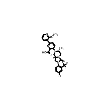 COc1ncccc1-c1ccc(N2C[C@H]3CN(c4ccc(Cl)cc4C(F)(F)F)C(=O)N3C[C@H]2C)c(C(=O)O)n1